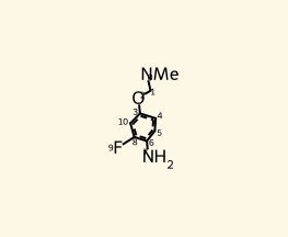 CNCOc1ccc(N)c(F)c1